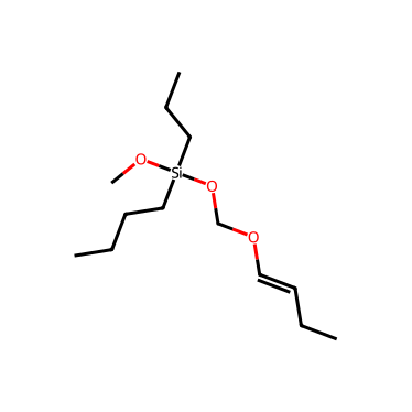 CCC=COCO[Si](CCC)(CCCC)OC